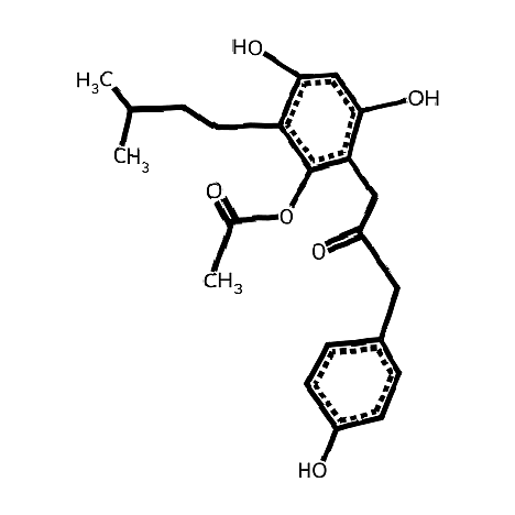 CC(=O)Oc1c(CCC(C)C)c(O)cc(O)c1CC(=O)Cc1ccc(O)cc1